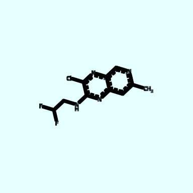 Cc1cc2nc(NCC(F)F)c(Cl)nc2cn1